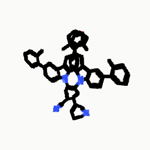 Cc1ccccc1-c1ccc2c(c1)c1cc(-c3ccccc3C)ccc1n2-c1cc(C#N)c(-c2cccnc2)cc1-n1c2ccc(-c3ccccc3C)cc2c2cc(-c3ccccc3C)ccc21